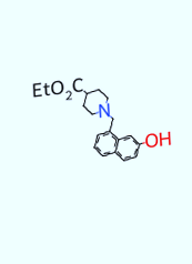 CCOC(=O)C1CCN(Cc2cccc3ccc(O)cc23)CC1